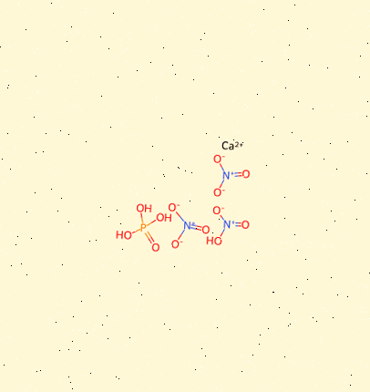 O=P(O)(O)O.O=[N+]([O-])O.O=[N+]([O-])[O-].O=[N+]([O-])[O-].[Ca+2]